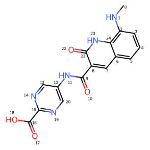 CNc1cccc2cc(C(=O)Nc3cnc(C(=O)O)nc3)c(=O)[nH]c12